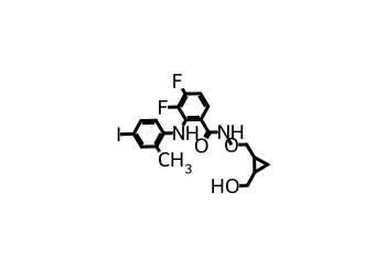 Cc1cc(I)ccc1Nc1c(C(=O)NOCC2CC2CO)ccc(F)c1F